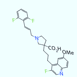 COc1ccc2ncc(F)c(CCCC3(C(=O)O)CCN(CC=Cc4c(F)cccc4F)C3)c2c1